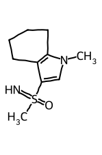 Cn1cc(S(C)(=N)=O)c2c1CCCC2